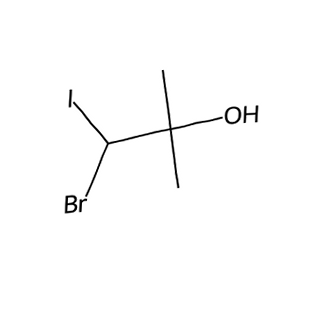 CC(C)(O)C(Br)I